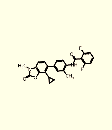 Cc1cc(-c2ccc3c(oc(=O)n3C)c2C2CC2)ccc1NC(=O)c1c(F)cccc1F